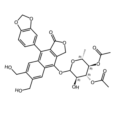 CC(=O)O[C@H]1[C@H](OC(C)=O)[C@@H](O)C(Oc2c3c(c(-c4ccc5c(c4)OCO5)c4cc(CO)c(CO)cc24)C(=O)OC3)O[C@@H]1C